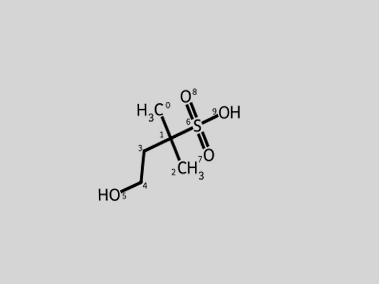 CC(C)(CCO)S(=O)(=O)O